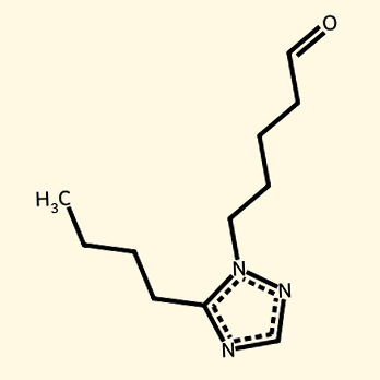 CCCCc1ncnn1CCCCC=O